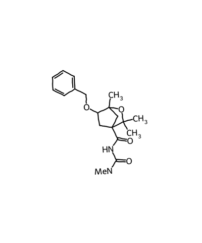 CNC(=O)NC(=O)C12CC(OCc3ccccc3)C(C)(C1)OC2(C)C